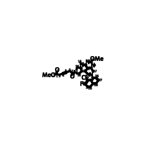 COC(=O)CC#CCC(=O)N1CCC(N(C)c2nc(OC)nc3c2CCN(c2cccc4ccc(F)c(Cl)c24)C3)C1